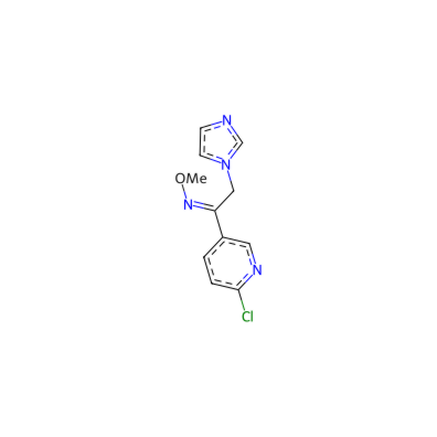 CON=C(Cn1ccnc1)c1ccc(Cl)nc1